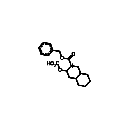 O=C(O)OC1CC2CCCCC2CN1C(=O)OCc1ccccc1